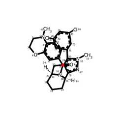 CN1CCOc2cc(C(=O)N3[C@H]4CCC[C@@H]3c3nn(C)c(-c5cc(Cl)cc(Cl)c5)c3C4)cnc21